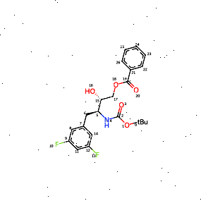 CC(C)(C)OC(=O)N[C@@H](Cc1cc(F)cc(F)c1)[C@H](O)COC(=O)c1ccccc1